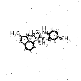 CC1=Cc2cccc([Si](C)(C)[Si](C)(C)Nc3ccc(C)cc3)c2C1